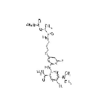 CCc1nc(C(N)=O)c(Nc2cc(F)cc(OCCCNC(=O)C(C)OC(=O)NC)c2)nc1N(C)C